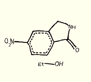 CCO.O=C1NCc2cc([N+](=O)[O-])ccc21